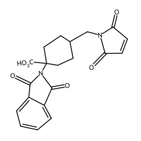 O=C1C=CC(=O)N1CC1CCC(C(=O)O)(N2C(=O)c3ccccc3C2=O)CC1